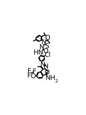 Cc1ccc(C(C)C)c(N2C(=O)CS/C2=N\C(=O)Nc2ccc(-n3nc(C)c(-c4cc(OC(F)(F)F)ccc4C(N)=O)c3C)cc2Cl)c1